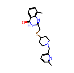 Cc1cccc(CN2CCC(SCc3nc4c(C)cccc4c(=O)[nH]3)CC2)n1